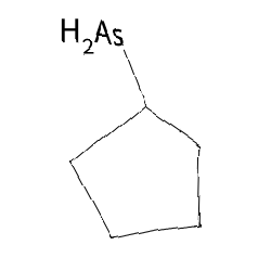 [AsH2]C1CCCC1